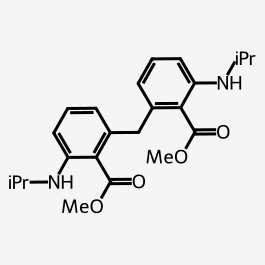 COC(=O)c1c(Cc2cccc(NC(C)C)c2C(=O)OC)cccc1NC(C)C